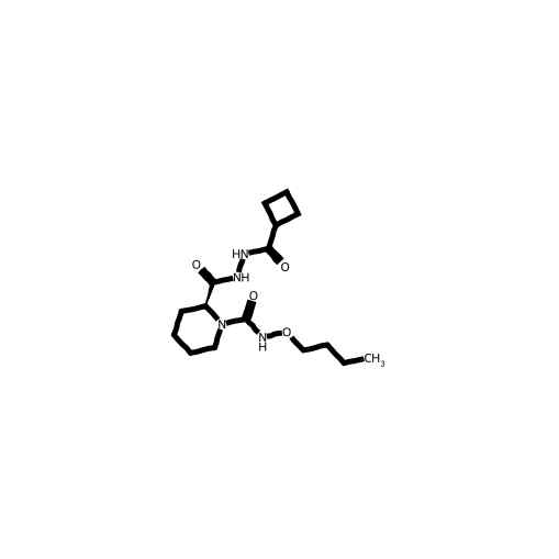 CCCCONC(=O)N1CCCC[C@H]1C(=O)NNC(=O)C1CCC1